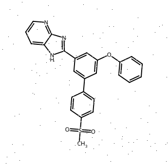 CS(=O)(=O)c1ccc(-c2cc(Oc3ccccc3)cc(-c3nc4ncccc4[nH]3)c2)cc1